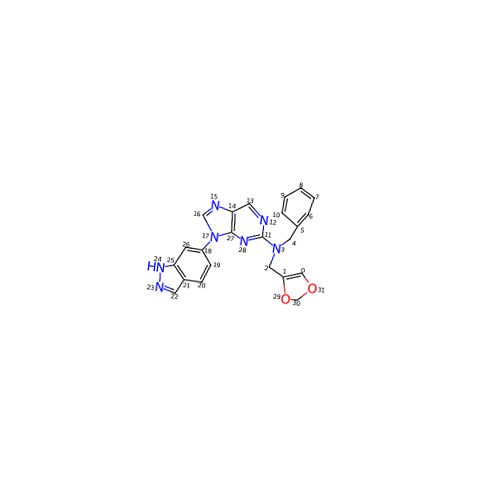 C1=C(CN(Cc2ccccc2)c2ncc3ncn(-c4ccc5cn[nH]c5c4)c3n2)OCO1